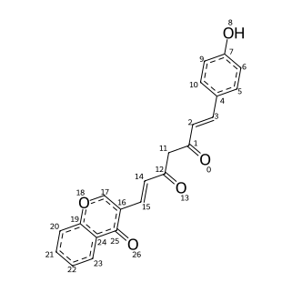 O=C(/C=C/c1ccc(O)cc1)CC(=O)/C=C/c1coc2ccccc2c1=O